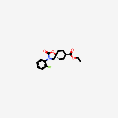 CCOC(=O)[C@H]1CC[C@]2(CC1)CN(c1ccccc1F)C(=O)O2